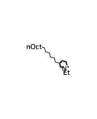 CCCCCCCCCCCCCCc1ccc[n+](CC)c1